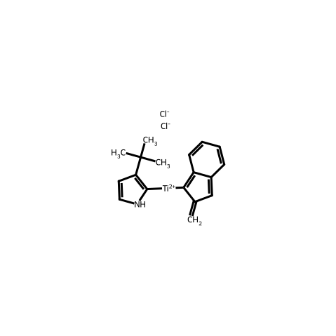 C=C1C=c2ccccc2=[C]1[Ti+2][c]1[nH]ccc1C(C)(C)C.[Cl-].[Cl-]